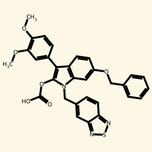 COc1ccc(-c2c(OC(=O)O)n(Cc3ccc4nsnc4c3)c3cc(OCc4ccccc4)ccc23)cc1OC